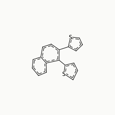 c1csc(-c2ccc3ccccc3c2-c2cccs2)c1